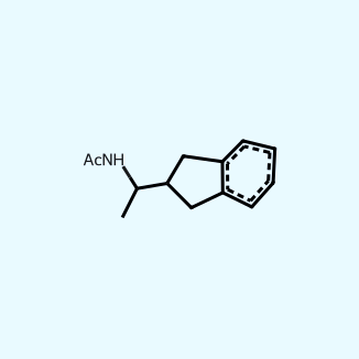 CC(=O)NC(C)C1Cc2ccccc2C1